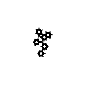 c1ccc(-c2cccc(N(c3ccccc3)c3cc4ccccc4c4c3oc3ccccc34)c2)cc1